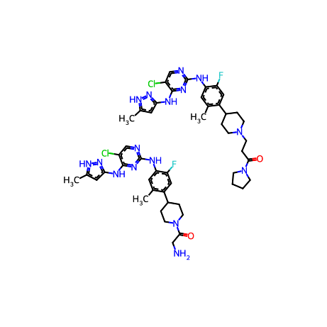 Cc1cc(Nc2nc(Nc3cc(C)c(C4CCN(C(=O)CN)CC4)cc3F)ncc2Cl)n[nH]1.Cc1cc(Nc2nc(Nc3cc(C)c(C4CCN(CCC(=O)N5CCCC5)CC4)cc3F)ncc2Cl)n[nH]1